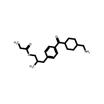 CCC(=O)OCC(C)Cc1ccc(C(=O)C2CCC(CN)CC2)cc1